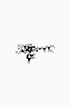 CC(C)OC(=O)OCOP(=O)(C[C@@]1(F)O[C@@H](n2ccc(=O)[nH]c2=O)[C@]2(C)O[C@@H](C)O[C@@H]21)OCOC(=O)OC(C)C